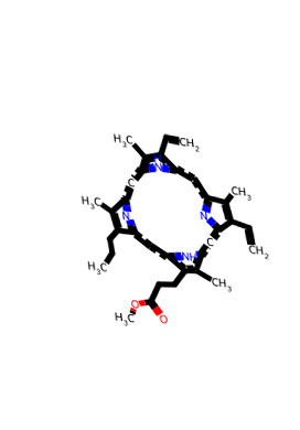 C=CC1=C(C)c2cc3[nH]c(cc4nc(cc5[nH]c(cc1n2)c(C)c5CCC(=O)OC)C(CCC)=C4C)c(C)c3C=C